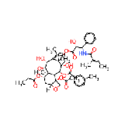 C/C=C(\C)C(=O)N[C@@H](c1ccccc1)[C@@H](O)C(=O)O[C@H]1C[C@@]2(O)[C@@H](OC(=O)c3cccc(C)c3)C3[C@](C)(C(=O)[C@H](O)C(=C1C)C2(C)C)[C@@H](OC(=O)CC)C[C@H]1OC[C@@]31OC(C)=O